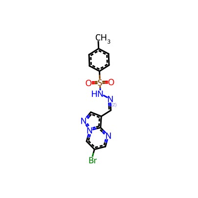 Cc1ccc(S(=O)(=O)N/N=C\c2cnn3cc(Br)cnc23)cc1